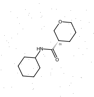 O=C(NC1CCCCC1)[C@H]1CCCOC1